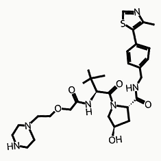 Cc1ncsc1-c1ccc(CNC(=O)[C@@H]2C[C@@H](O)CN2C(=O)[C@@H](NC(=O)COCCN2CCNCC2)C(C)(C)C)cc1